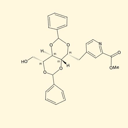 COC(=O)c1cc(C[C@H]2OC(c3ccccc3)O[C@H]3[C@H]2OC(c2ccccc2)O[C@@H]3CO)ccn1